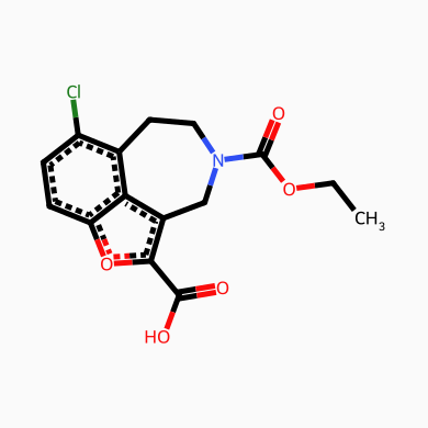 CCOC(=O)N1CCc2c(Cl)ccc3oc(C(=O)O)c(c23)C1